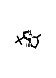 CC1CCNc2c(C(C)(C)C)cnn21